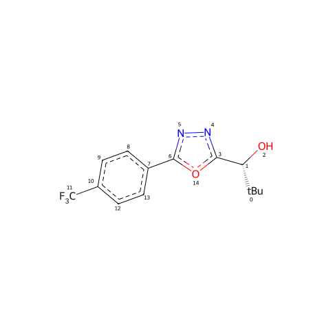 CC(C)(C)[C@@H](O)c1nnc(-c2ccc(C(F)(F)F)cc2)o1